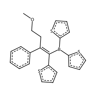 COCC/C(=C(\B(c1cccs1)c1cccs1)c1cccs1)c1ccccc1